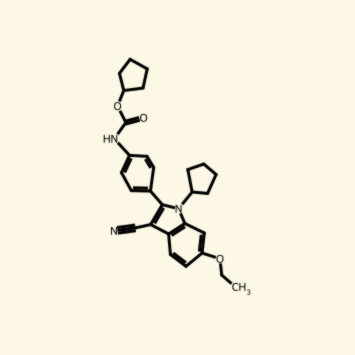 CCOc1ccc2c(C#N)c(-c3ccc(NC(=O)OC4CCCC4)cc3)n(C3CCCC3)c2c1